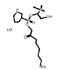 CCCCCCCCCCCCCCCC(=O)COP(=O)(OC(CO)[N+](C)(C)C)C1CCCNC1.[OH-]